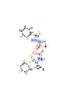 CN(NC(=O)CS(=O)(=O)NNC(=S)c1ccccc1)C(=S)c1ccccc1